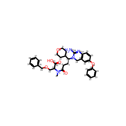 CN(C(=O)CC[C@@H](C1CCOCC1)N1Cc2cc(Oc3ccccc3)ccc2N=C1N)C(COCc1ccccc1)C(=O)O